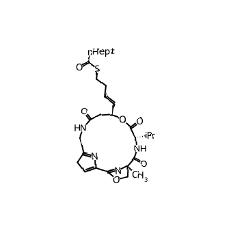 CCCCCCCC(=O)SCC/C=C/[C@@H]1CC(=O)NCC2=NC(=CC2)C2=N[C@@](C)(CO2)C(=O)N[C@@H](C(C)C)C(=O)O1